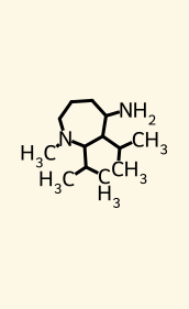 CC(C)C1C(N)CCCN(C)C1C(C)C